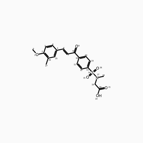 COc1ccc(/C=C/C(=O)c2ccc(S(=O)(=O)N(C)CC(=O)O)cc2)cc1C